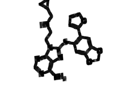 Nc1ncnc2c1nc(Sc1cc3c(cc1-c1ccco1)OCO3)n2CCNCC1CC1